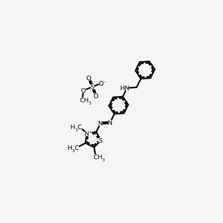 COS(=O)(=O)[O-].Cc1sc(N=Nc2ccc(NCc3ccccc3)cc2)[n+](C)c1C